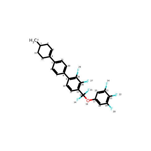 CC1CC=C(c2ccc(-c3ccc(C(F)(F)Oc4cc(F)c(F)c(F)c4)c(F)c3F)cc2)CC1